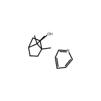 CC1(C)C2CCC1(C)C(O)C2.c1ccncc1